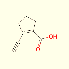 C#CC1=C(C(=O)O)CCC1